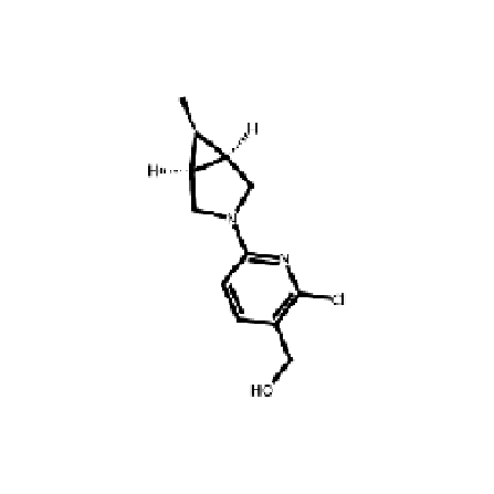 C[C@H]1[C@H]2CN(c3ccc(CO)c(Cl)n3)C[C@@H]12